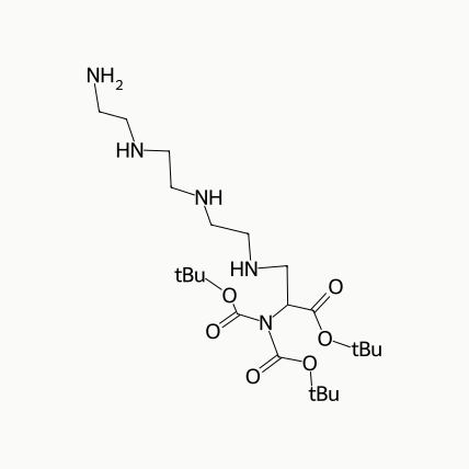 CC(C)(C)OC(=O)C(CNCCNCCNCCN)N(C(=O)OC(C)(C)C)C(=O)OC(C)(C)C